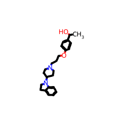 CC(O)c1ccc(OCCCN2CCC(N3CCc4ccccc43)CC2)cc1